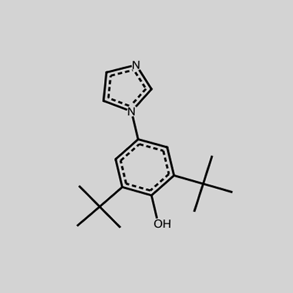 CC(C)(C)c1cc(-n2ccnc2)cc(C(C)(C)C)c1O